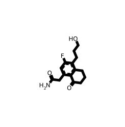 NC(=O)Cc1cc(F)c(CCCO)c2c1C(=O)CCC2